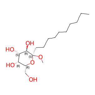 CCCCCCCCCC[C@]1(OC)O[C@H](CO)[C@H](O)[C@H](O)[C@H]1O